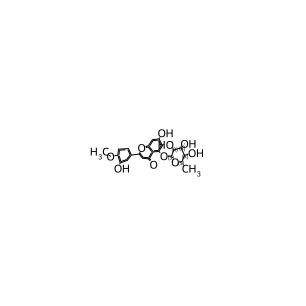 COc1ccc(-c2cc(=O)c3c(O[C@@H]4O[C@@H](C)[C@H](O)[C@@H](O)[C@H]4O)cc(O)cc3o2)cc1O